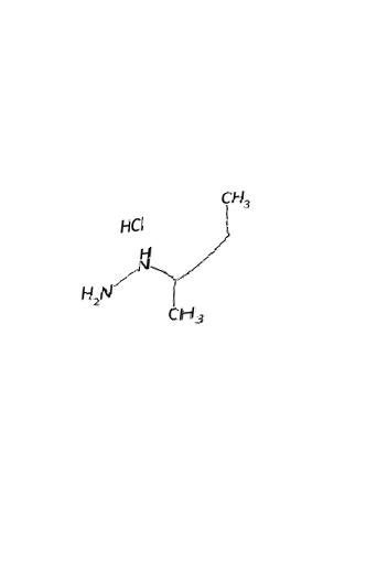 CCC(C)NN.Cl